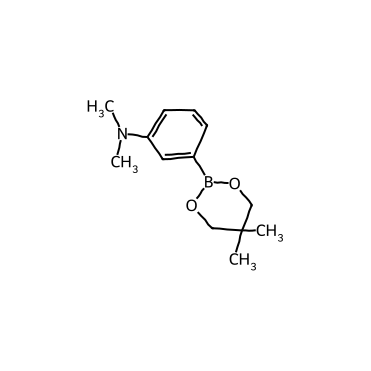 CN(C)c1cccc(B2OCC(C)(C)CO2)c1